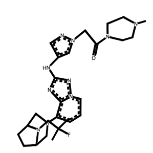 CN1CCN(C(=O)Cn2cc(Nc3nc4c(N5CC6CCC(C5)N6CC(C)(C)F)cccn4n3)cn2)CC1